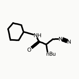 CCCCC(C[N+]#N)C(=O)NC1CCCCC1